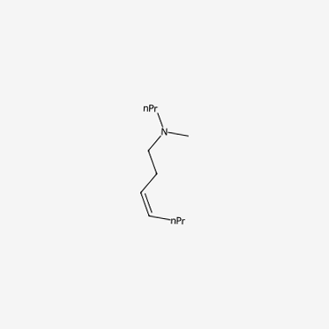 CCC/C=C\CCN(C)CCC